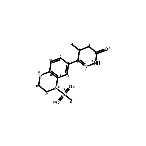 CC1CC(=O)NN=C1c1ccc2c(c1)N(S(C)(=O)=O)CCO2